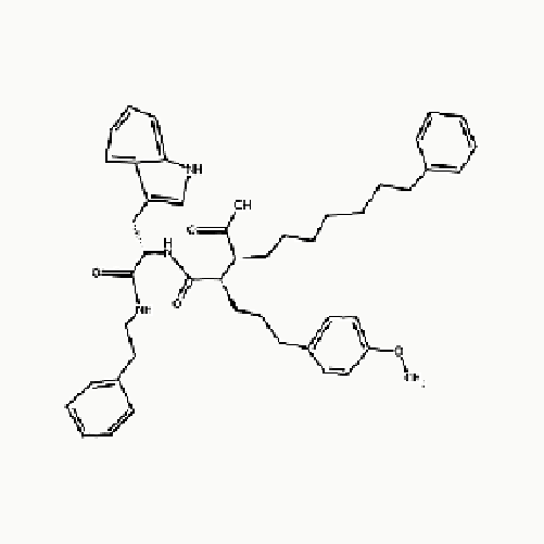 COc1ccc(CCC[C@@H](C(=O)N[C@@H](Cc2c[nH]c3ccccc23)C(=O)NCCc2ccccc2)[C@H](CCCCCCCc2ccccc2)C(=O)O)cc1